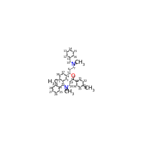 Cc1ccc(C(CCN(C)Cc2ccccc2)OC(CCN(C)Cc2ccccc2)c2ccc(C)cc2)cc1